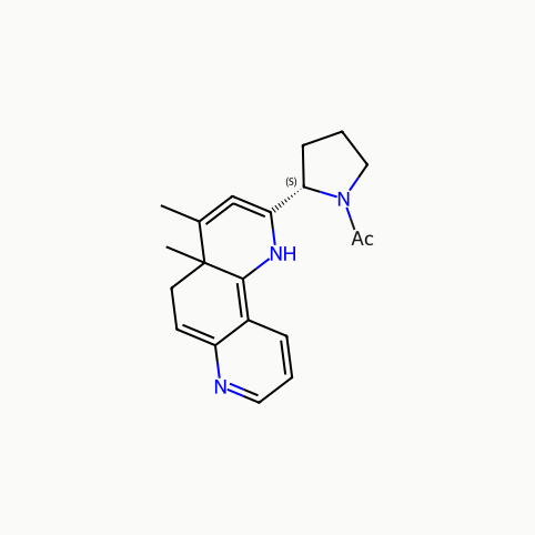 CC(=O)N1CCC[C@H]1C1=C=C(C)C2(C)CC=c3ncccc3=C2N1